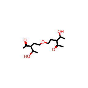 CC(=O)C(CCOCCC(C(C)=O)C(C)O)C(C)O